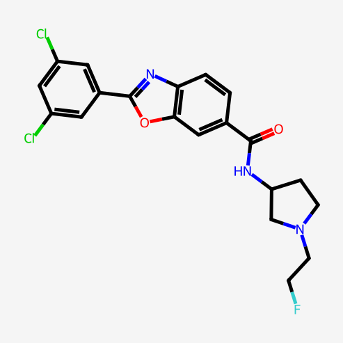 O=C(NC1CCN(CCF)C1)c1ccc2nc(-c3cc(Cl)cc(Cl)c3)oc2c1